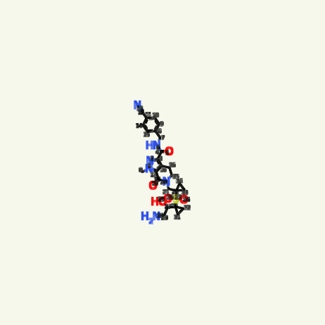 Cn1nc(C(=O)NCc2ccc(C#N)cc2)c2c1C(=O)N(CC1(S(=O)(=O)C3(C(O)CN)CC3)CC1)CC2